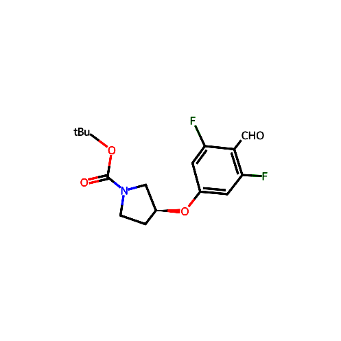 CC(C)(C)OC(=O)N1CC[C@H](Oc2cc(F)c(C=O)c(F)c2)C1